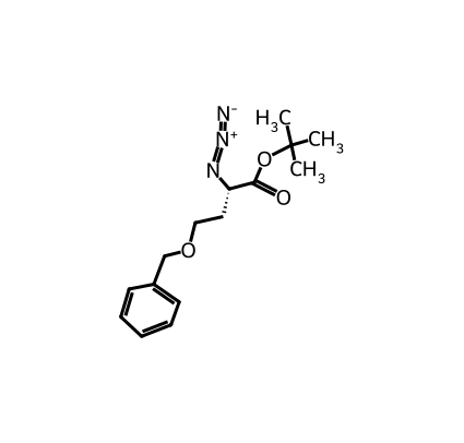 CC(C)(C)OC(=O)[C@H](CCOCc1ccccc1)N=[N+]=[N-]